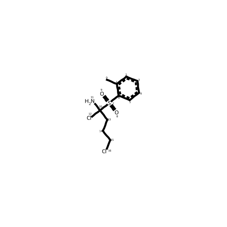 Cc1ccccc1S(=O)(=O)C(N)(Cl)CCCCl